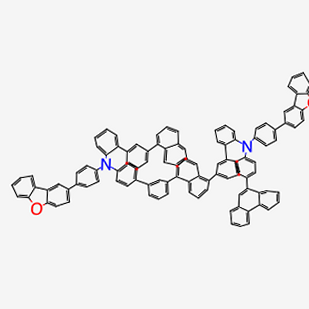 c1cc(-c2ccccc2N(c2ccc(-c3cccc(-c4cccc5c(-c6cccc(-c7ccccc7N(c7ccc(-c8ccc9oc%10ccccc%10c9c8)cc7)c7ccc(-c8cc9ccccc9c9ccccc89)cc7)c6)cccc45)c3)cc2)c2ccc(-c3ccc4oc5ccccc5c4c3)cc2)cc(-c2cccc3ccccc23)c1